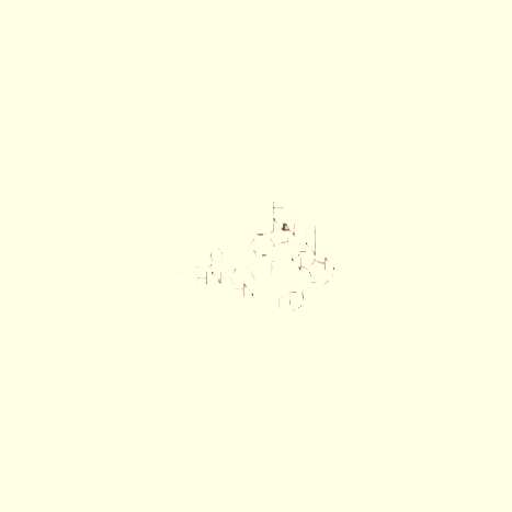 O=C(Nc1cncc(-c2ccc3[nH]nc(-c4nc5c(-c6ccoc6)ccnc5[nH]4)c3c2F)c1)C1CCCC1